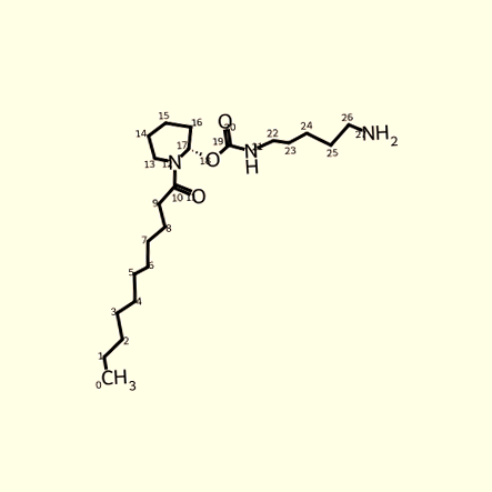 CCCCCCCCCCC(=O)N1CCCC[C@@H]1OC(=O)NCCCCCN